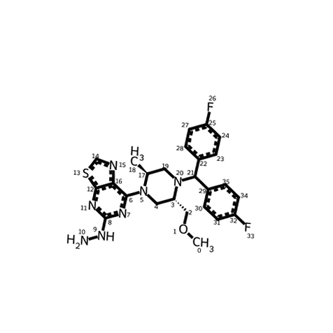 COC[C@@H]1CN(c2nc(NN)nc3scnc23)[C@@H](C)CN1C(c1ccc(F)cc1)c1ccc(F)cc1